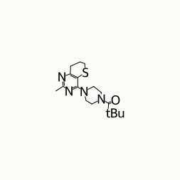 Cc1nc2c(c(N3CCN(C(=O)C(C)(C)C)CC3)n1)SCCC2